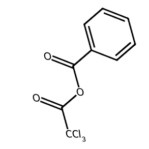 O=C(OC(=O)C(Cl)(Cl)Cl)c1ccccc1